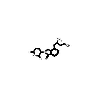 C[C@@H](CCO)Cc1cccc2c1CN(C1CCC(=O)NC1=O)C2=O